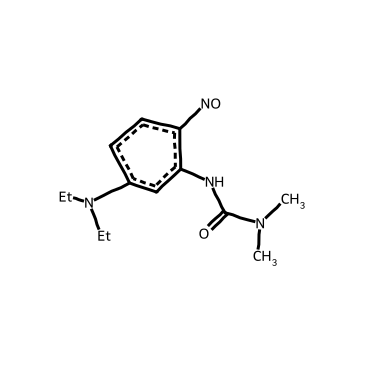 CCN(CC)c1ccc(N=O)c(NC(=O)N(C)C)c1